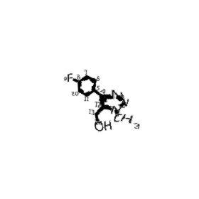 Cn1nnc(-c2ccc(F)cc2)c1CO